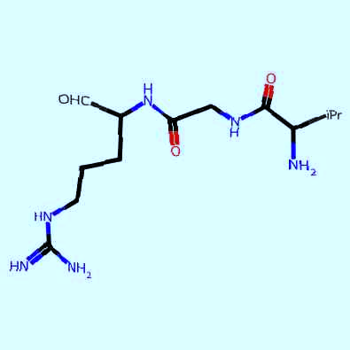 CC(C)C(N)C(=O)NCC(=O)NC(C=O)CCCNC(=N)N